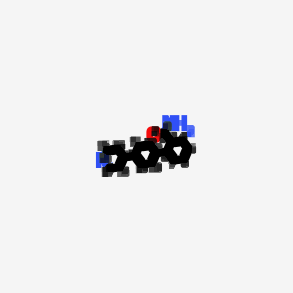 NC(=O)c1ccccc1-c1ccc(-c2ccncc2)cc1